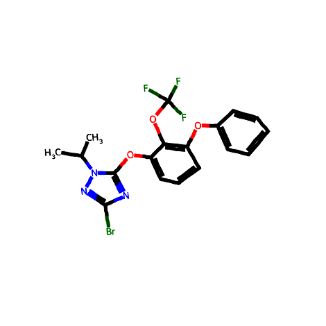 CC(C)n1nc(Br)nc1Oc1cccc(Oc2ccccc2)c1OC(F)(F)F